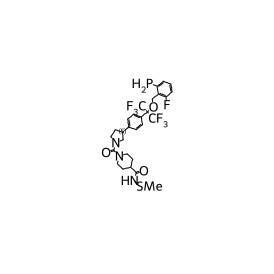 CSNC(=O)C1CCN(C(=O)N2CC[C@@H](c3ccc(C(OCc4c(F)cccc4P)(C(F)(F)F)C(F)(F)F)cc3)C2)CC1